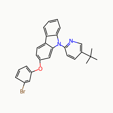 CC(C)(C)c1ccc(-n2c3ccccc3c3ccc(Oc4cccc(Br)c4)cc32)nc1